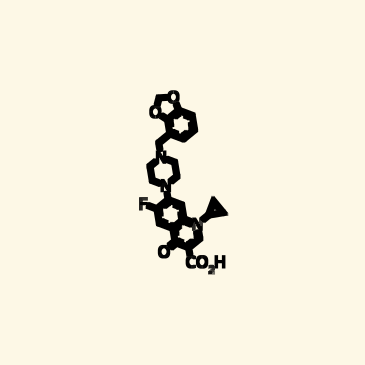 O=C(O)c1cn(C2CC2)c2cc(N3CCN(Cc4cccc5c4OCO5)CC3)c(F)cc2c1=O